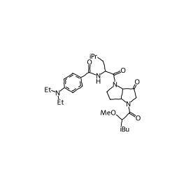 CCC(C)C(OC)C(=O)N1CC(=O)C2C1CCN2C(=O)C(CC(C)C)NC(=O)c1ccc(N(CC)CC)cc1